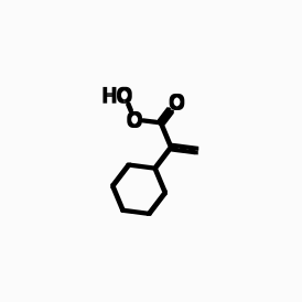 C=C(C(=O)OO)C1CCCCC1